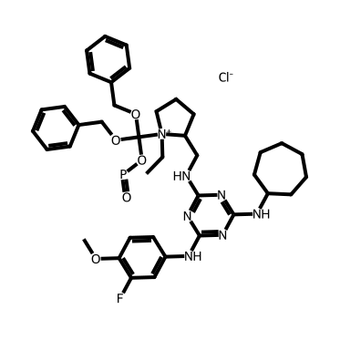 CC[N+]1(C(OCc2ccccc2)(OCc2ccccc2)OP=O)CCCC1CNc1nc(Nc2ccc(OC)c(F)c2)nc(NC2CCCCCC2)n1.[Cl-]